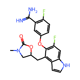 CN1CC(Cc2c(Oc3ccc(F)c(C(=N)N)c3)c(F)cc3[nH]ccc23)OC1=O